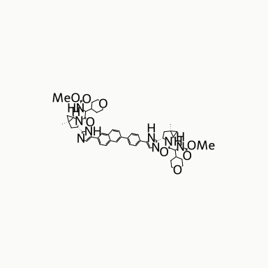 COC(=O)N[C@H](C(=O)N1[C@H](c2ncc(-c3ccc(-c4ccc5cc(-c6cnc([C@@H]7C[C@@]8(C)C[C@H]8N7C(=O)[C@@H](NC(=O)OC)C7CCOCC7)[nH]6)ccc5c4)cc3)[nH]2)C[C@@]2(C)C[C@@H]12)C1CCOCC1